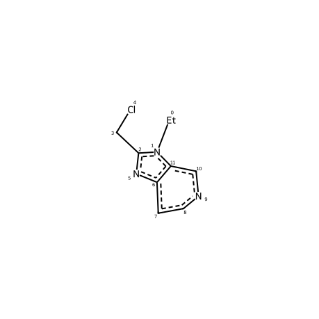 CCn1c(CCl)nc2ccncc21